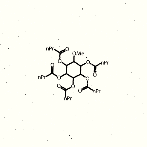 CCCC(=O)OC1C(OC)C(OC(=O)CCC)C(OC(=O)CCC)C(OC(=O)CCC)C1OC(=O)CCC